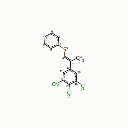 FC(F)(F)/C(=C\Sc1ccccc1)c1cc(Cl)c(Cl)c(Cl)c1